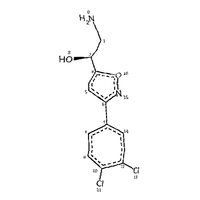 NC[C@H](O)c1cc(-c2ccc(Cl)c(Cl)c2)no1